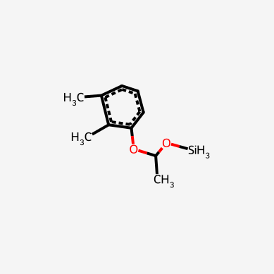 Cc1cccc(OC(C)O[SiH3])c1C